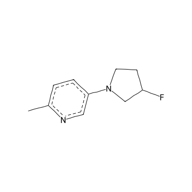 Cc1ccc(N2CCC(F)C2)cn1